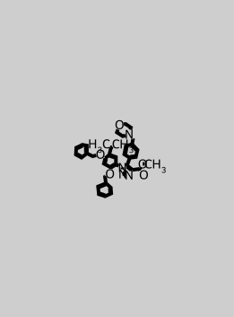 COC(=O)c1nnn(-c2cc(C(C)C)c(OCc3ccccc3)cc2OCc2ccccc2)c1-c1ccc(CN2CCOCC2)cc1